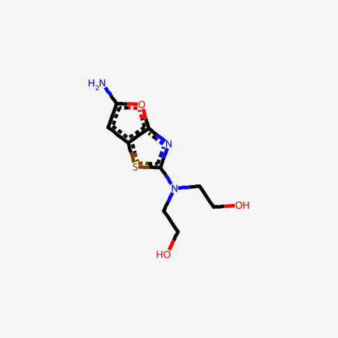 Nc1cc2sc(N(CCO)CCO)nc2o1